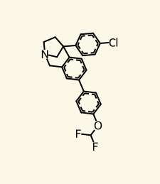 FC(F)Oc1ccc(-c2ccc3c(c2)CN2CCC3(c3ccc(Cl)cc3)C2)cc1